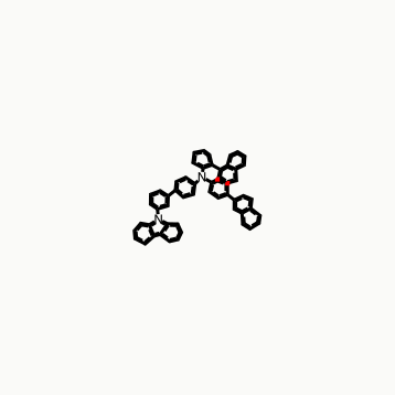 c1cc(-c2ccc(N(c3ccc(-c4ccc5ccccc5c4)cc3)c3ccccc3-c3cccc4ccccc34)cc2)cc(-n2c3ccccc3c3ccccc32)c1